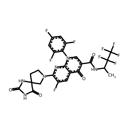 CC(NC(=O)c1cn(-c2c(F)cc(F)cc2F)c2nc(N3CCC4(C3)NC(=O)NC4=O)c(F)cc2c1=O)C(F)(F)C(F)(F)F